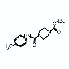 Cc1ccc(NC(=O)N2CCN(C(=O)OC(C)(C)C)CC2)cc1